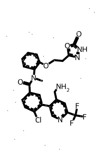 CN(C(=O)c1ccc(Cl)c(-c2cnc(C(F)(F)F)cc2CN)c1)c1ccccc1OCCc1n[nH]c(=O)o1